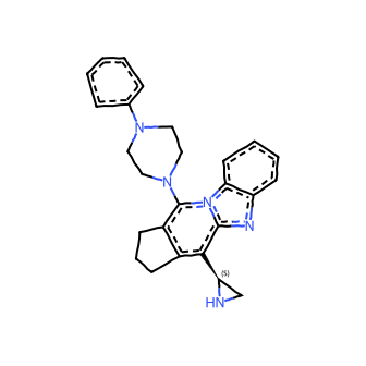 c1ccc(N2CCN(c3c4c(c([C@H]5CN5)c5nc6ccccc6n35)CCC4)CC2)cc1